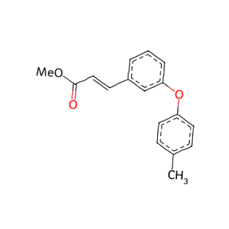 COC(=O)/C=C/c1cccc(Oc2ccc(C)cc2)c1